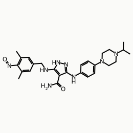 Cc1cc(CNc2[nH]nc(Nc3ccc(N4CCN(C(C)C)CC4)cc3)c2C(N)=O)cc(C)c1N=O